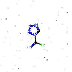 N=C(Br)n1cnnn1